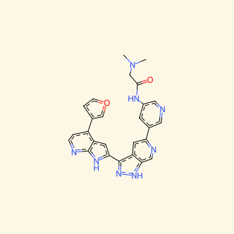 CN(C)CC(=O)Nc1cncc(-c2cc3c(-c4cc5c(-c6ccoc6)ccnc5[nH]4)n[nH]c3cn2)c1